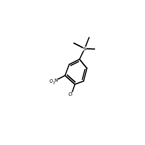 C[Si](C)(C)c1ccc(Cl)c([N+](=O)[O-])c1